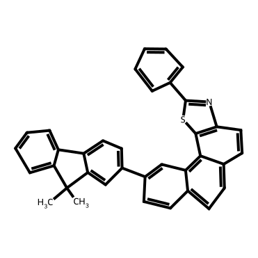 CC1(C)c2ccccc2-c2ccc(-c3ccc4ccc5ccc6nc(-c7ccccc7)sc6c5c4c3)cc21